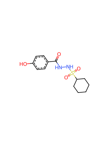 O=C(NNS(=O)(=O)C1CCCCC1)c1ccc(O)cc1